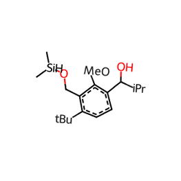 COc1c(C(O)C(C)C)ccc(C(C)(C)C)c1CO[SiH](C)C